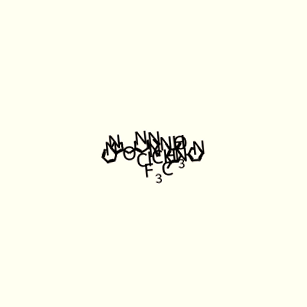 Cn1c(Nc2cc(C(F)(F)F)cn(-c3cccnc3)c2=O)nc2ncc(Oc3cnn4ccccc34)c(Cl)c21